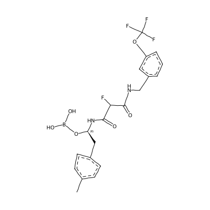 Cc1ccc(C[C@H](NC(=O)C(F)C(=O)NCc2cccc(OC(F)(F)F)c2)OB(O)O)cc1